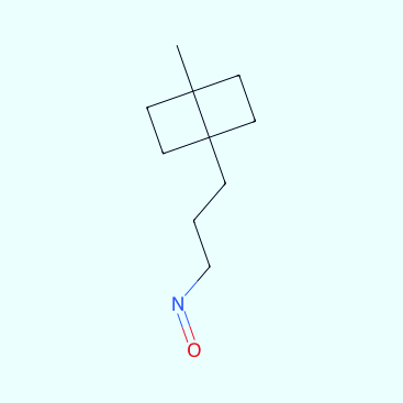 CC12CCC1(CCCN=O)CC2